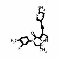 C[C@H]1CN(c2ccc(C(F)(F)F)c(F)c2)C(=O)c2c(C#Cc3ccc(N)nc3)cnn21